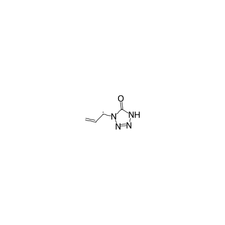 C=C[CH]n1nn[nH]c1=O